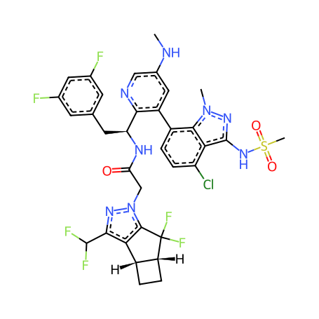 CNc1cnc([C@H](Cc2cc(F)cc(F)c2)NC(=O)Cn2nc(C(F)F)c3c2C(F)(F)[C@@H]2CC[C@H]32)c(-c2ccc(Cl)c3c(NS(C)(=O)=O)nn(C)c23)c1